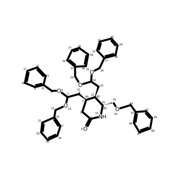 O=C1C[C@@H](CC(OCc2ccccc2)OCc2ccccc2)[C@@H](CC(OCc2ccccc2)OCc2ccccc2)[C@H](COCc2ccccc2)N1